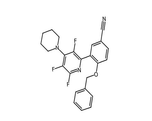 N#Cc1ccc(OCc2ccccc2)c(-c2nc(F)c(F)c(N3CCCCC3)c2F)c1